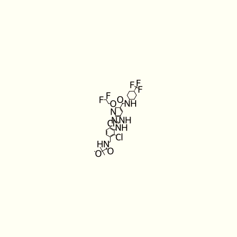 COC(C)(C)C(=O)NCc1ccc(Cl)c(Nc2nc3nc(OCC(F)F)c(C(=O)N[C@H]4CC[C@H](C(F)(F)F)CC4)cc3[nH]2)c1Cl